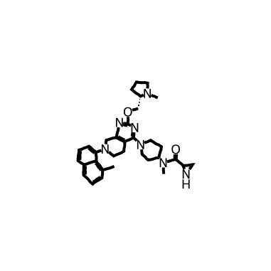 Cc1cccc2cccc(N3CCc4c(nc(OC[C@@H]5CCCN5C)nc4N4CCC(N(C)C(=O)C5CN5)CC4)C3)c12